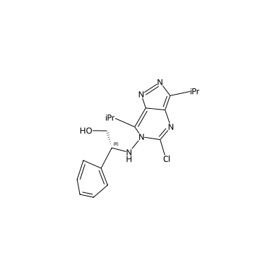 CC(C)c1nnc2c(C(C)C)n(N[C@@H](CO)c3ccccc3)c(Cl)nc1-2